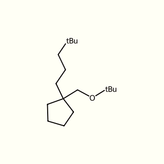 CC(C)(C)CCCC1(COC(C)(C)C)CCCC1